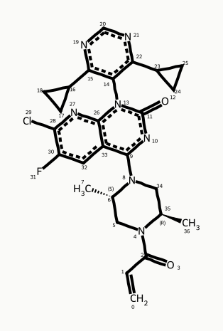 C=CC(=O)N1C[C@H](C)N(c2nc(=O)n(-c3c(C4CC4)ncnc3C3CC3)c3nc(Cl)c(F)cc23)C[C@H]1C